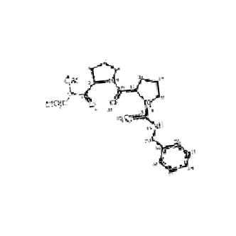 CCOC(=O)[C@H](OC(C)=O)C(=O)C1CCCN1C(=O)C1CCCN1C(=O)NCc1ccccc1